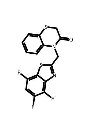 O=C1CSc2ccccc2N1Cc1nc2c(F)c(F)cc(F)c2s1